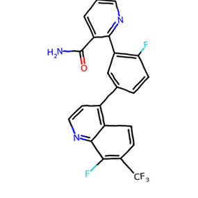 NC(=O)c1cccnc1-c1cc(-c2ccnc3c(F)c(C(F)(F)F)ccc23)ccc1F